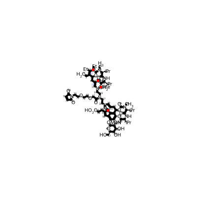 C=C/C(=C(\CC)SCC)C(C/C(N)=C/N(N)CCN(CCn1cc(CC(OC(=O)N(C)[C@H](C(=O)N[C@H](C(=O)NC)C(C)C)C(C)C)c2ccc(O[C@@H]3O[C@H](CO)[C@H](O)[C@H](O)[C@H]3O)c3cc(CCC(=O)O)sc23)nn1)C(=O)COCCOCCN1C(=O)C=CC1=O)OC(=O)N(C)[C@H](C(=O)N[C@H](C(=O)NC)C(C)C)C(C)C